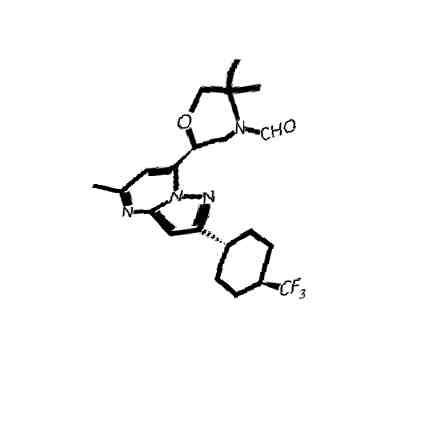 Cc1cc([C@@H]2CN(C=O)C(C)(C)CO2)n2nc([C@H]3CC[C@H](C(F)(F)F)CC3)cc2n1